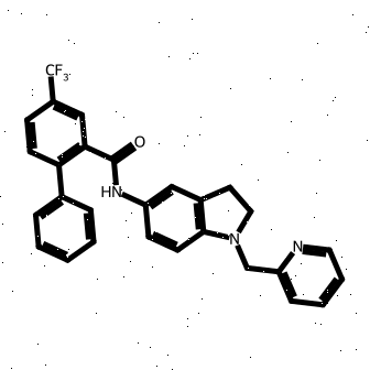 O=C(Nc1ccc2c(c1)CCN2Cc1ccccn1)c1cc(C(F)(F)F)ccc1-c1ccccc1